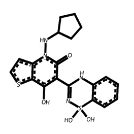 O=c1c(C2=NS(O)(O)c3ccccc3N2)c(O)c2sccc2n1NC1CCCC1